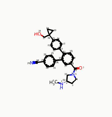 CN[C@H]1CCN(C(=O)c2ccc(-c3ccc(C4(CO)CC4)cc3)c(-c3ccc(C#N)cc3)c2)C1